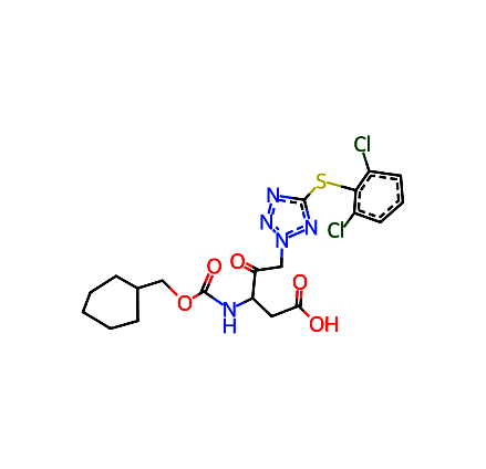 O=C(O)CC(NC(=O)OCC1CCCCC1)C(=O)Cn1nnc(Sc2c(Cl)cccc2Cl)n1